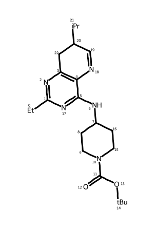 CCc1nc2c(c(NC3CCN(C(=O)OC(C)(C)C)CC3)n1)N=CC(C(C)C)C2